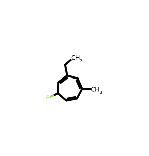 CCC1=CC(F)C=CC(C)=C1